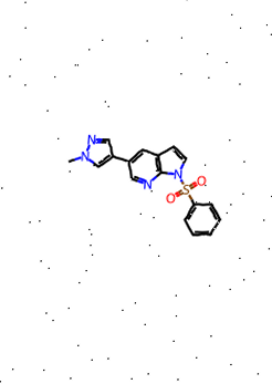 Cn1cc(-c2cnc3c(ccn3S(=O)(=O)c3ccccc3)c2)cn1